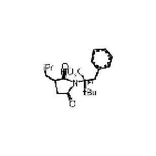 CC(C)CC1CC(=O)N([C@@](Cc2ccccc2)(C(=O)O)C(C)(C)C)C1=O